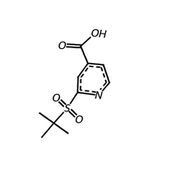 CC(C)(C)S(=O)(=O)c1cc(C(=O)O)ccn1